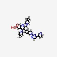 Cc1nc(CN2CCC3(CCC3)CC2)c(-c2ccc3c(c2)CCN(c2nccc(-c4cccnc4)n2)C3)c(N2CCC(C)(C)CC2)c1CC(=O)O